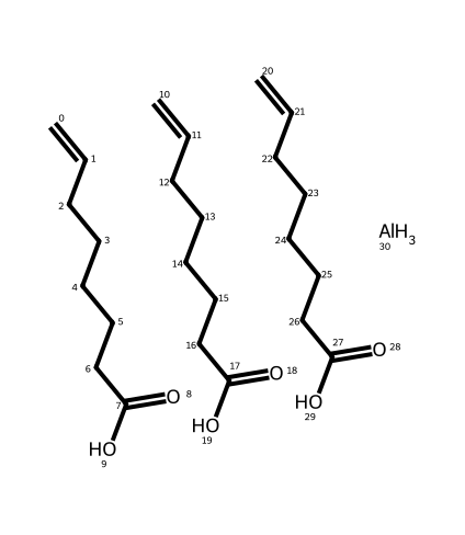 C=CCCCCCC(=O)O.C=CCCCCCC(=O)O.C=CCCCCCC(=O)O.[AlH3]